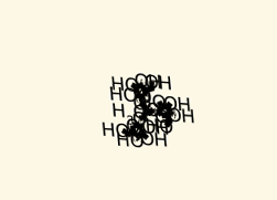 CC(CO[C@H]1OC(CO)[C@@H](O)C(O)C1O)(CO[C@H]1OC(CO)[C@@H](O)C(O)C1O)CO[C@H]1OC(CO)[C@@H](O)C(O)C1O